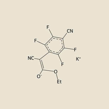 CCOC([O-])=C(C#N)c1c(F)c(F)c(C#N)c(F)c1F.[K+]